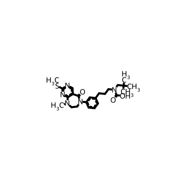 CSc1ncc2c(n1)N(C)CCN(c1cccc(CCCN(CC(C)(C)C)C(=O)O)c1)C2=O